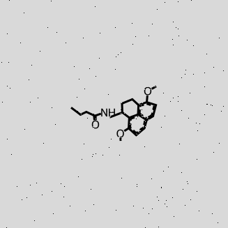 CCCC(=O)NCC1CCc2c(OC)ccc3ccc(OC)c1c23